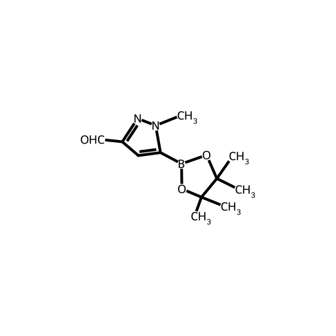 Cn1nc(C=O)cc1B1OC(C)(C)C(C)(C)O1